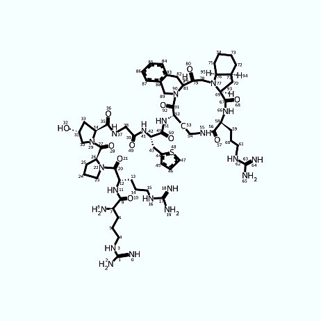 N=C(N)NCCC[C@@H](N)C(=O)N[C@@H](CCCNC(=N)N)C(=O)N1CCC[C@H]1C(=O)N1C[C@H](O)C[C@H]1C(=O)NCC(=O)N[C@@H](Cc1cccs1)C(=O)N[C@H]1CCNC(=O)[C@H](CCCNC(=N)N)NC(=O)[C@@H]2C[C@@H]3CCCC[C@@H]3N2CC(=O)[C@@H]2Cc3ccccc3CN2C1=O